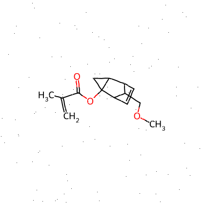 C=C(C)C(=O)OC12CC1C1C=CC2C1COC